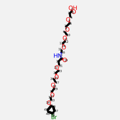 O=C(O)CCOCCOCCOCCOCCNC(=O)CCOCCOCCOCCOCCOc1ccc(Br)cc1